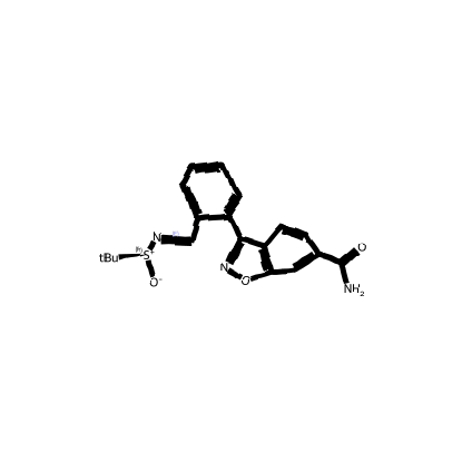 CC(C)(C)[S@+]([O-])/N=C/c1ccccc1-c1noc2cc(C(N)=O)ccc12